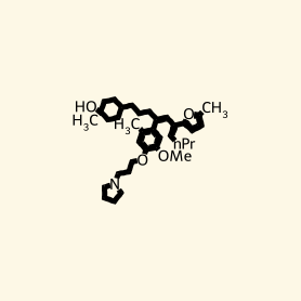 CCC/C=C(/C=C(/CCCC1CCC(C)(O)CC1)c1cc(OC)c(OCCCN2CCCC2)cc1C)c1ccc(C)o1